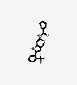 O=C(Nc1cc2[nH]c(-c3ccccc3C(F)(F)F)cc2cn1)c1ccccn1